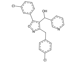 OC(c1cccnc1)c1c(Cc2ccc(Cl)cc2)noc1-c1cccc(Cl)c1